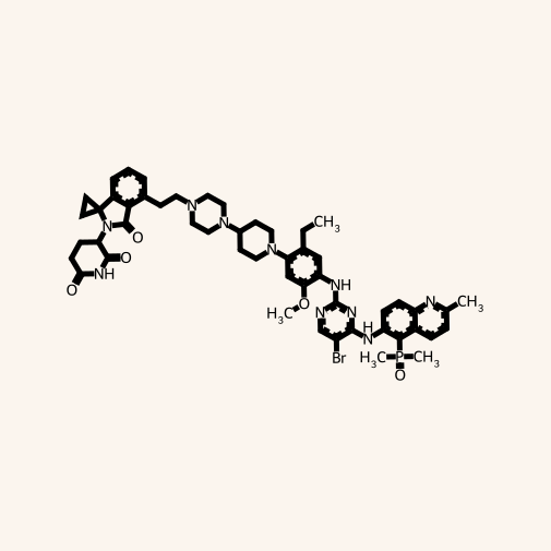 CCc1cc(Nc2ncc(Br)c(Nc3ccc4nc(C)ccc4c3P(C)(C)=O)n2)c(OC)cc1N1CCC(N2CCN(CCc3cccc4c3C(=O)N(C3CCC(=O)NC3=O)C43CC3)CC2)CC1